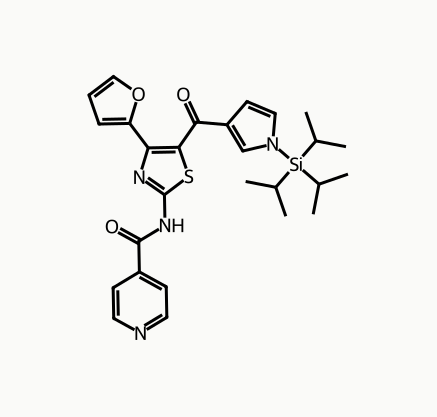 CC(C)[Si](C(C)C)(C(C)C)n1ccc(C(=O)c2sc(NC(=O)c3ccncc3)nc2-c2ccco2)c1